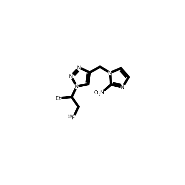 CCC(C[18F])n1cc(Cn2ccnc2[N+](=O)[O-])nn1